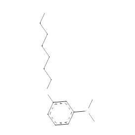 CN(C)c1cccc(OCCCCCCI)c1